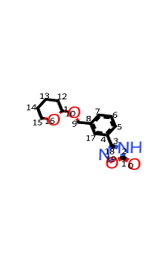 O=c1[nH]c(-c2cccc(COC3CCCCO3)c2)no1